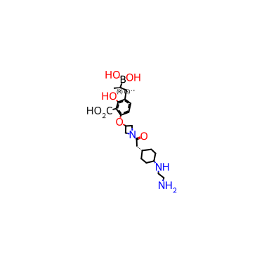 C[C@H](c1ccc(OC2CN(C(=O)C[C@H]3CC[C@H](NCCN)CC3)C2)c(C(=O)O)c1O)[C@@H](C)B(O)O